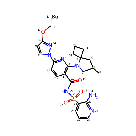 CC1CN(c2nc(-n3ccc(OCC(C)(C)C)n3)ccc2C(=O)NS(=O)(=O)c2cccnc2N)C2(CCC2)C1